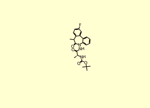 CC1C(=O)N(NC(=O)[C@H](C)NC(=O)OC(C)(C)C)c2ccccc2-c2cc(F)ccc21